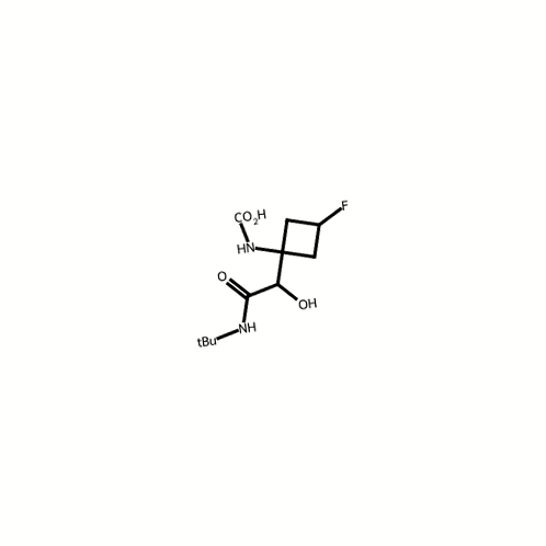 CC(C)(C)NC(=O)C(O)C1(NC(=O)O)CC(F)C1